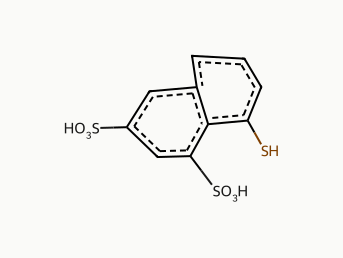 O=S(=O)(O)c1cc(S(=O)(=O)O)c2c(S)cccc2c1